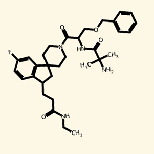 CCNC(=O)CCC1CC2(CCN(C(=O)C(COCc3ccccc3)NC(=O)C(C)(C)N)CC2)c2cc(F)ccc21